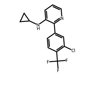 FC(F)(F)c1ccc(-c2ncccc2NC2CC2)cc1Cl